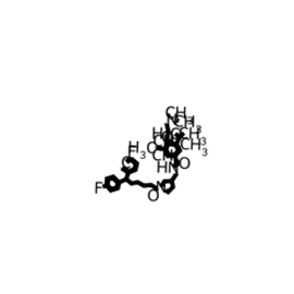 CN(C)CCOc1c(C(C)(C)C)cc(C(=O)NCC2CCN(C(=O)CCCCC(c3ccc(F)cc3)c3ccc(F)cc3)C2)cc1C(C)(C)C